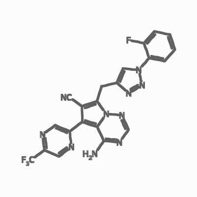 N#Cc1c(-c2cnc(C(F)(F)F)cn2)c2c(N)ncnn2c1Cc1cn(-c2ccccc2F)nn1